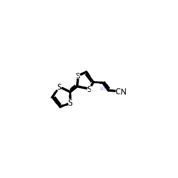 N#C/C=C/C1=CSC(=C2SC=CS2)S1